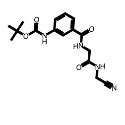 CC(C)(C)OC(=O)Nc1cccc(C(=O)NCC(=O)NCC#N)c1